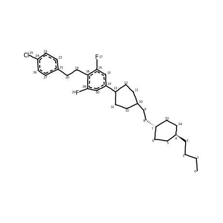 CCCC[C@H]1CC[C@H](CCC2CCC(c3cc(F)c(CCc4ccc(Cl)cc4)c(F)c3)CC2)CC1